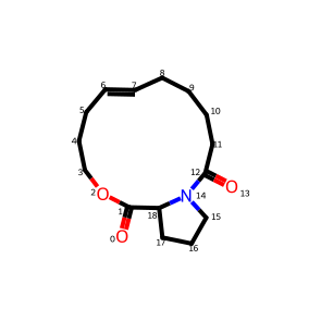 O=C1OCCC/C=C/CCCCC(=O)N2CCCC12